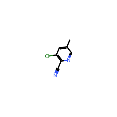 Cc1cnc(C#N)c(Cl)c1